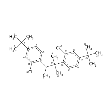 CC(c1ccc(C(C)(C)C)cc1Cl)C(C)(C)c1ccc(C(C)(C)C)cc1Cl